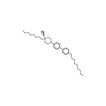 CCCCCCCCCc1ccc(-c2ccc(C3CCC(C#N)(CCCCCCCC)CC3)cc2)cc1